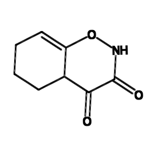 O=C1NOC2=CCCCC2C1=O